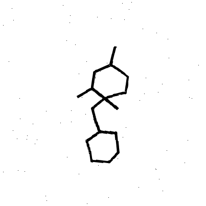 CC1CCC(C)(CC2CCCCC2)C(C)C1